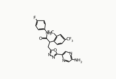 Nc1cnc(-c2nnc(CC(C(=O)Nc3ccc(F)cc3)c3ccc(C(F)(F)F)cc3C(F)(F)F)o2)cn1